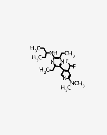 CCc1nc(-c2cnc(N(C)C)cc2C(F)F)c(CC)nc1NC(CC)CC